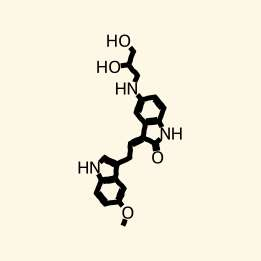 COc1ccc2[nH]cc(CC=C3C(=O)Nc4ccc(NCC(O)CO)cc43)c2c1